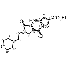 CCOC(=O)c1cc2[nH]c3c(c(=O)n2n1)CN(CCN1CCOCC1)C3=O